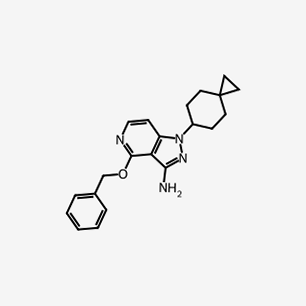 Nc1nn(C2CCC3(CC2)CC3)c2ccnc(OCc3ccccc3)c12